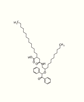 CCCCCCCCCCCCCCC(CC(=O)NCC(CCCCCCCCCC)OC(C(=O)c1ccccc1)c1ccccc1)C(=O)O